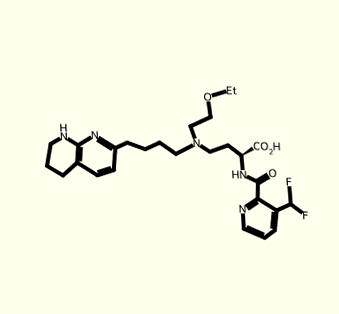 CCOCCN(CCCCc1ccc2c(n1)NCCC2)CC[C@H](NC(=O)c1ncccc1C(F)F)C(=O)O